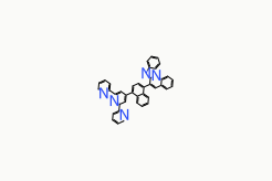 c1ccc(-c2cc(-c3ccc(-c4cc5ccccc5n5c4nc4ccccc45)c4ccccc34)cc(-c3ccccn3)n2)nc1